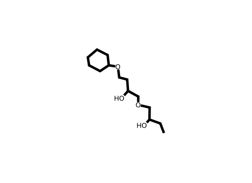 CCC(O)COCC(O)CCOC1CCCCC1